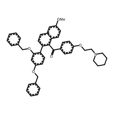 COc1ccc2c(C(=O)c3ccc(OCCN4CCCCC4)cc3)c(-c3ccc(OCc4ccccc4)cc3OCc3ccccc3)ccc2c1